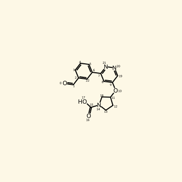 O=Cc1cccc(-c2cc(OC3CCN(C(=O)O)C3)cnn2)c1